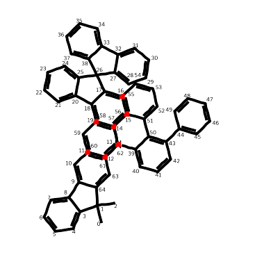 CC1(C)c2ccccc2-c2ccc(N(c3ccc4c(c3)-c3ccccc3C43c4ccccc4-c4ccccc43)c3cccc(-c4ccccc4)c3-c3ccccc3-c3ccccc3)cc21